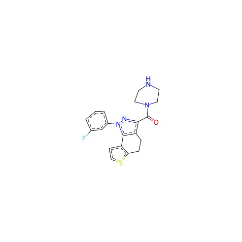 O=C(c1nn(-c2cccc(F)c2)c2c1CCc1sccc1-2)N1CCNCC1